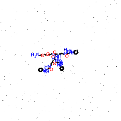 NCCOCCOCCNC(=O)[C@H](CCCCNC(=O)c1nnn(-c2ccccc2)n1)NC(=O)[C@H](CCCCNC(=O)c1nnn(-c2ccccc2)n1)NC(=O)c1nnn(-c2ccccc2)n1